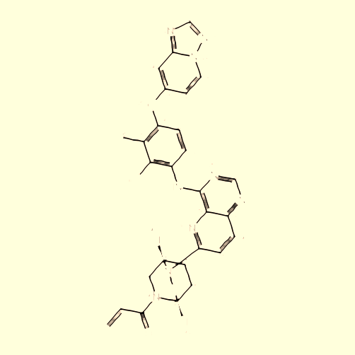 C=CC(=O)N1C[C@@H]2CC[C@H]1CN2c1ccc2ncnc(Nc3ccc(Oc4ccn5ncnc5c4)c(C)c3F)c2n1